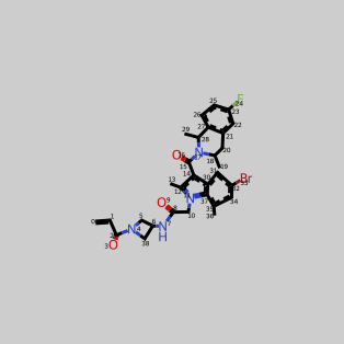 C=CC(=O)N1CC(NC(=O)Cn2c(C)c(C(=O)N3C(C)Cc4cc(F)ccc4C3C)c3cc(Br)cc(C)c32)C1